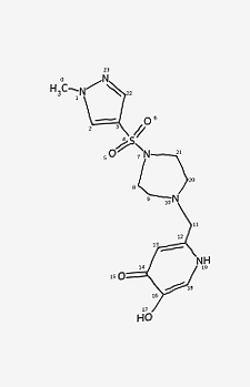 Cn1cc(S(=O)(=O)N2CCN(Cc3cc(=O)c(O)c[nH]3)CC2)cn1